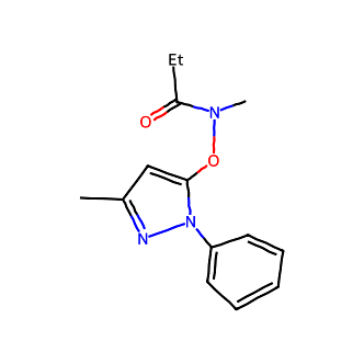 CCC(=O)N(C)Oc1cc(C)nn1-c1ccccc1